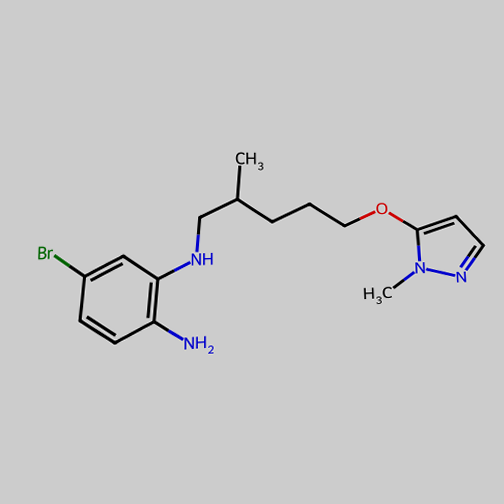 CC(CCCOc1ccnn1C)CNc1cc(Br)ccc1N